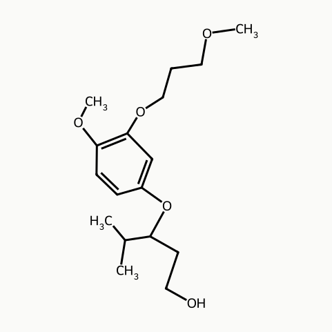 COCCCOc1cc(OC(CCO)C(C)C)ccc1OC